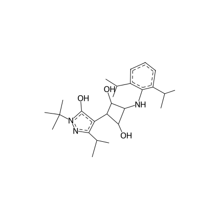 CC(C)c1cccc(C(C)C)c1NC1C(O)C(c2c(C(C)C)nn(C(C)(C)C)c2O)C1O